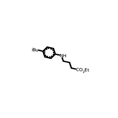 CCOC(=O)CCCNc1ccc(C(C)CC)cc1